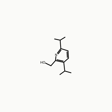 CC(C)c1ccc(C(C)C)c(CO)n1